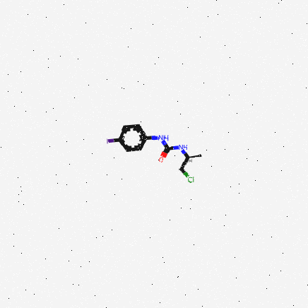 C[C@@H](CCl)NC(=O)Nc1ccc(I)cc1